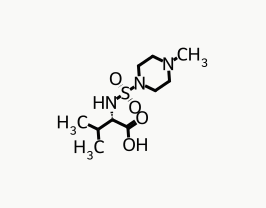 CC(C)[C@H](NS(=O)(=O)N1CCN(C)CC1)C(=O)O